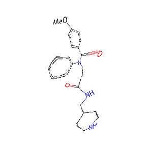 COc1ccc(C(=O)N(CC(=O)NCC2CCNCC2)c2ccccc2)cc1